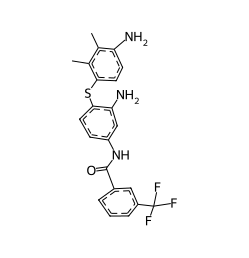 Cc1c(N)ccc(Sc2ccc(NC(=O)c3cccc(C(F)(F)F)c3)cc2N)c1C